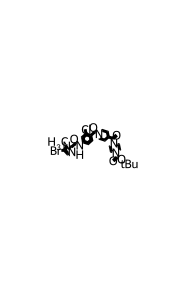 Cn1c(Br)cnc1C(=O)Nc1ccc(C(=O)N2CCC(C(=O)N3CCN(C(=O)OC(C)(C)C)CC3)CC2)c(Cl)c1